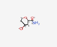 NC(=O)C1CC([O])CCO1